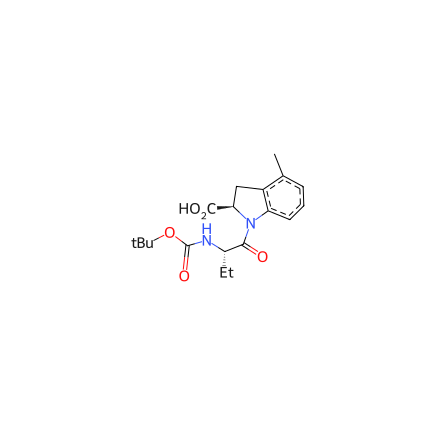 CC[C@H](NC(=O)OC(C)(C)C)C(=O)N1c2cccc(C)c2C[C@@H]1C(=O)O